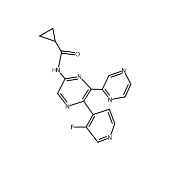 O=C(Nc1cnc(-c2ccncc2F)c(-c2cnccn2)n1)C1CC1